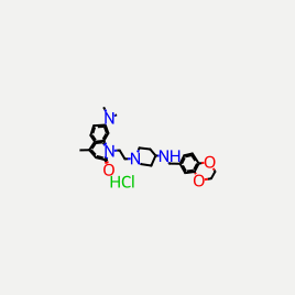 Cc1cc(=O)n(CCN2CCC(NCc3ccc4c(c3)OCCO4)CC2)c2cc(N(C)C)ccc12.Cl